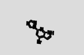 Brc1cc(-n2cncn2)nc2[nH]ccc12